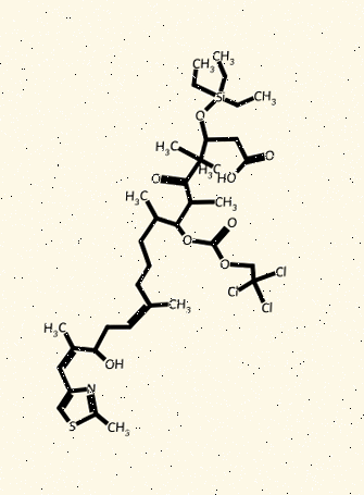 CC[Si](CC)(CC)OC(CC(=O)O)C(C)(C)C(=O)C(C)C(OC(=O)OCC(Cl)(Cl)Cl)C(C)CCCC(C)=CCC(O)C(C)=Cc1csc(C)n1